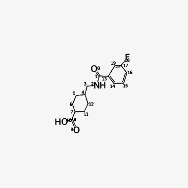 O=C(NCC1CCC(C(=O)O)CC1)c1cccc(F)c1